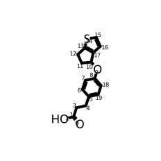 O=C(O)CCc1ccc(OC2CCc3sccc32)cc1